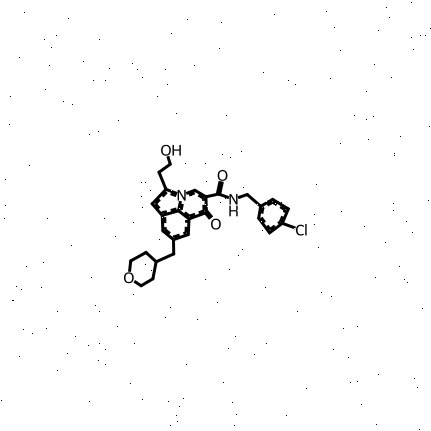 O=C(NCc1ccc(Cl)cc1)c1cn2c(CCO)cc3cc(CC4CCOCC4)cc(c1=O)c32